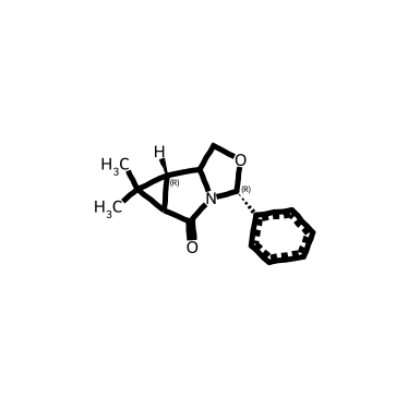 CC1(C)C2C(=O)N3C(CO[C@@H]3c3ccccc3)[C@H]21